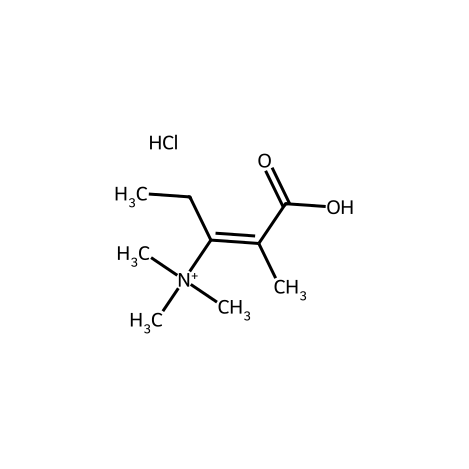 CCC(=C(C)C(=O)O)[N+](C)(C)C.Cl